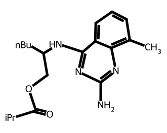 CCCCC(COC(=O)C(C)C)Nc1nc(N)nc2c(C)cccc12